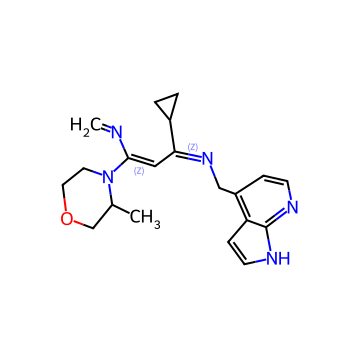 C=N/C(=C\C(=N/Cc1ccnc2[nH]ccc12)C1CC1)N1CCOCC1C